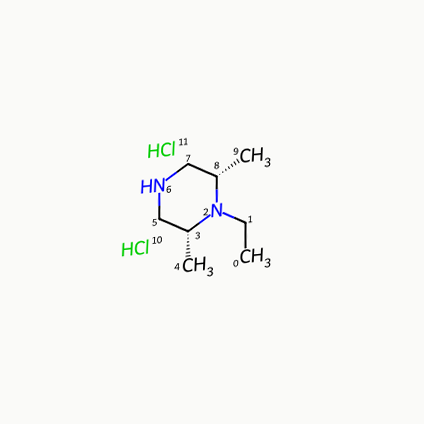 CCN1[C@H](C)CNC[C@@H]1C.Cl.Cl